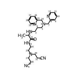 CC(NCCCN(Cc1ccccn1)Cc1ccccn1)C(=O)NCCN(CCC#N)CCC#N